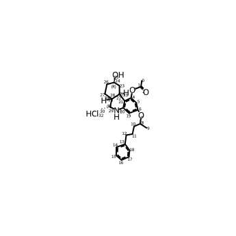 CC(=O)Oc1cc(OC(C)CCCc2ccccc2)cc2c1[C@@H]1C[C@H](O)CC[C@H]1[C@@H](C)N2.Cl